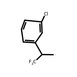 [CH2]C(c1cccc(Cl)c1)C(F)(F)F